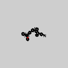 N#Cc1ccc(-c2cc3c4cccnc4c(-c4cccc(-c5ccc(-c6nc(-c7ccccc7)nc(-c7ccccc7)n6)cc5)c4)cc3c3ccccc23)cc1